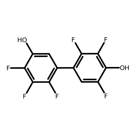 Oc1cc(-c2cc(F)c(O)c(F)c2F)c(F)c(F)c1F